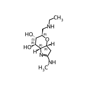 CCNC[C@H]1O[C@@H]2CC(NC)=N[C@@H]2[C@@H](O)[C@@H]1O